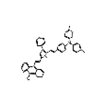 Cc1ccc(N(c2ccc(C)cc2)c2ccc(C=Cc3sc(C=Cc4c5ccccc5c(Cl)c5ccccc45)cc3-c3ccccc3)cc2)cc1